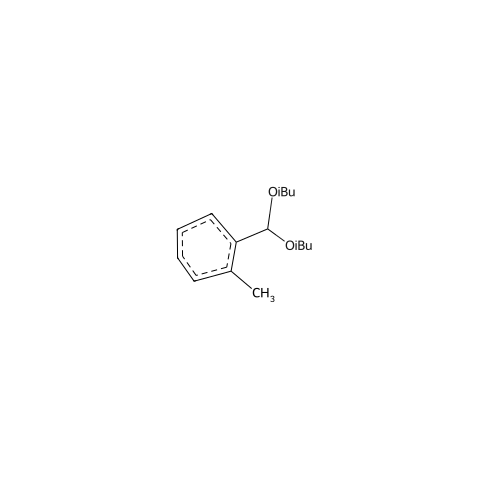 Cc1ccccc1C(OCC(C)C)OCC(C)C